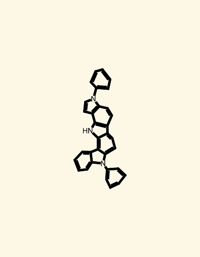 c1ccc(-n2ccc3c4[nH]c5c(ccc6c5c5ccccc5n6-c5ccccc5)c4ccc32)cc1